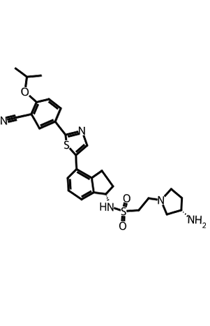 CC(C)Oc1ccc(-c2ncc(-c3cccc4c3CC[C@@H]4NS(=O)(=O)CCN3CC[C@H](N)C3)s2)cc1C#N